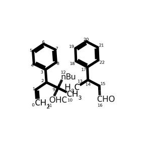 C=CC(c1ccccc1)C(C)(C=O)CCCC.CC(CC=O)c1ccccc1